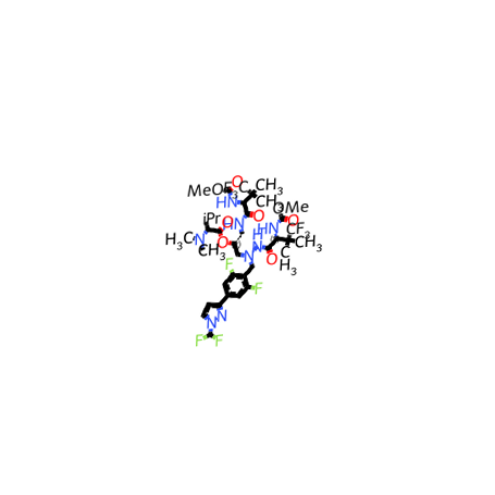 COC(=O)NC(C(=O)NC[C@H](CN(Cc1c(F)cc(-c2ccn(C(F)F)n2)cc1F)NC(=O)[C@@H](NC(=O)OC)C(C)(C)C(F)(F)F)OC(=O)C(C(C)C)N(C)C)C(C)(C)C(F)(F)F